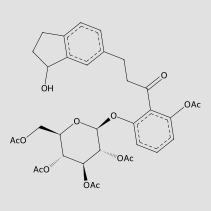 CC(=O)OC[C@H]1O[C@@H](Oc2cccc(OC(C)=O)c2C(=O)CCc2ccc3c(c2)C(O)CC3)[C@H](OC(C)=O)[C@@H](OC(C)=O)[C@@H]1OC(C)=O